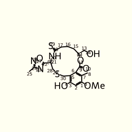 COc1cc(O)c2c(c1C)C(=O)O[C@H](CO)CCCC(=S)N[C@H](c1nc(C)no1)CSC2